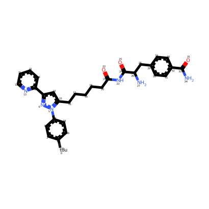 CC(C)(C)c1ccc(-n2nc(-c3ccccn3)cc2CCCCCC(=O)NC(=O)C(N)Cc2ccc(C(N)=O)cc2)cc1